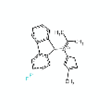 CC1=CC[C]([Zr+2](=[C](C)C)[CH]2c3ccccc3-c3ccccc32)=C1.[F-].[F-]